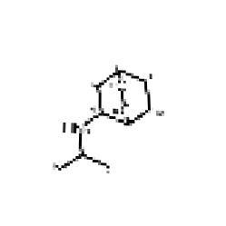 CC(C)NC1CC2CCC1CC2